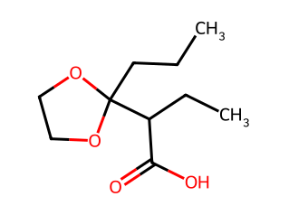 CCCC1(C(CC)C(=O)O)OCCO1